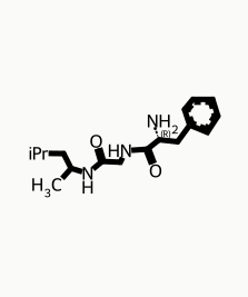 CC(C)CC(C)NC(=O)CNC(=O)[C@H](N)Cc1ccccc1